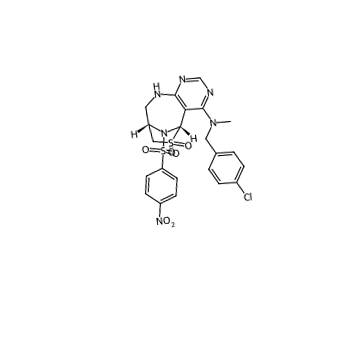 CN(Cc1ccc(Cl)cc1)c1ncnc2c1[C@H]1N(S(=O)(=O)c3ccc([N+](=O)[O-])cc3)[C@@H](CN2)CS1(=O)=O